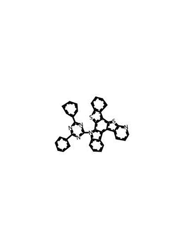 c1ccc(-c2nc(-c3ccccc3)nc(-n3c4ccccc4c4c5c6cccnc6sc5c5c6ccccc6sc5c43)n2)cc1